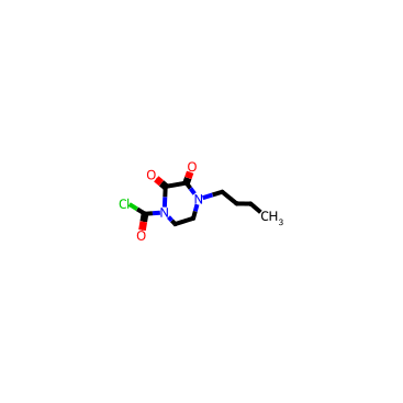 CCCCN1CCN(C(=O)Cl)C(=O)C1=O